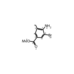 COC(=O)c1cc(C)c(N)c(Br)c1